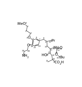 COCCCOc1cc(CC(CC(NC(=O)OC(C)(C)C)C(O)CC(C)C(=O)O)C(C)C)ccc1OCCN